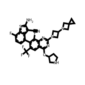 N#Cc1c(N)sc2c(F)ccc(-c3c(C(F)(F)F)cc4c(OC5CCNC5)nc(N5CC(N6CC7(CC7)C6)C5)nc4c3F)c12